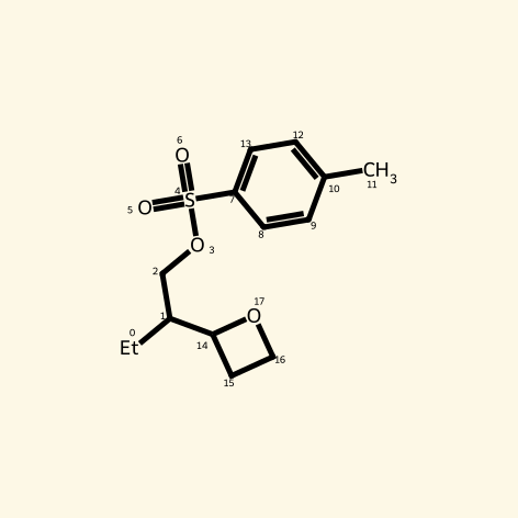 CCC(COS(=O)(=O)c1ccc(C)cc1)C1CCO1